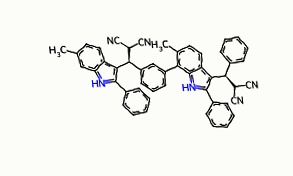 Cc1ccc2c([C@H](c3cccc(-c4c(C)ccc5c([C@@H](c6ccccc6)C(C#N)C#N)c(-c6ccccc6)[nH]c45)c3)C(C#N)C#N)c(-c3ccccc3)[nH]c2c1